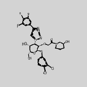 O=C(CO[C@@H]1[C@@H](n2cc(-c3cc(F)c(F)c(F)c3)nn2)[C@@H](O)[C@@H](CO)O[C@@H]1Sc1ccc(Cl)c(Cl)c1)N1CCC[C@H](O)C1